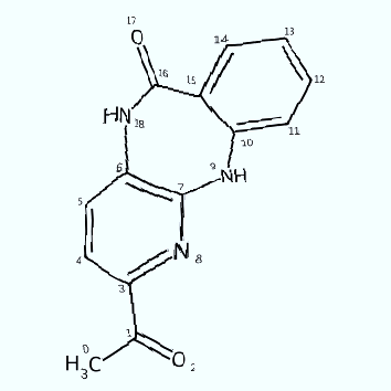 CC(=O)c1ccc2c(n1)Nc1ccccc1C(=O)N2